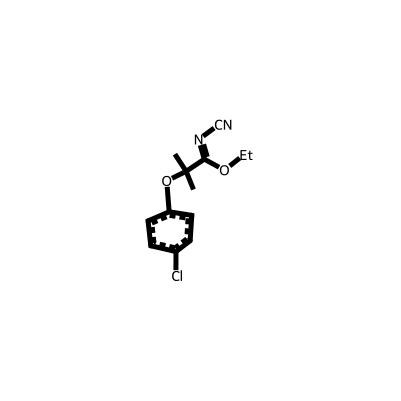 CCO/C(=N\C#N)C(C)(C)Oc1ccc(Cl)cc1